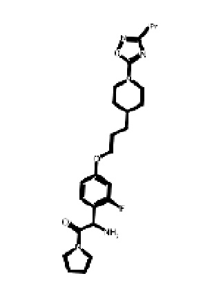 CC(C)c1noc(N2CCC(CCCOc3ccc(C(N)C(=O)N4CCCC4)c(F)c3)CC2)n1